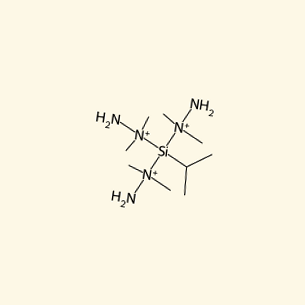 CC(C)[Si]([N+](C)(C)N)([N+](C)(C)N)[N+](C)(C)N